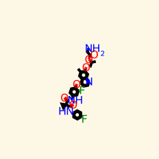 Cc1cc2c(Oc3ccc(NC(=O)C4(C(=O)Nc5ccc(F)cc5)CC4)cc3F)ccnc2cc1OCC(C)OC(=O)CN